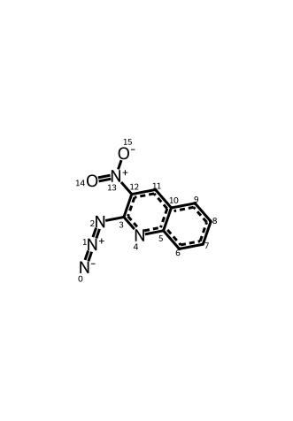 [N-]=[N+]=Nc1nc2ccccc2cc1[N+](=O)[O-]